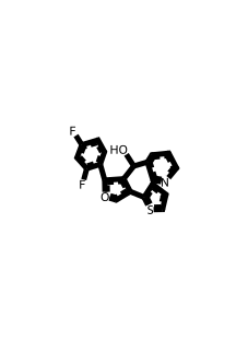 OC(c1cccnc1)c1c(-c2cccs2)coc1-c1ccc(F)cc1F